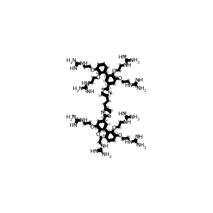 N=C(N)NCCOc1cccc(-c2cc(-c3nc(CCc4csc(-c5cc(OCCNC(=N)N)c(OCCNC(=N)N)c(-c6cccc(OCCNC(=N)N)c6OCCNC(=N)N)c5)n4)cs3)cc(OCCNC(=N)N)c2OCCNC(=N)N)c1OCCNC(=N)N